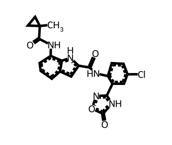 CC1(C(=O)Nc2cccc3cc(C(=O)Nc4ccc(Cl)cc4-c4noc(=O)[nH]4)[nH]c23)CC1